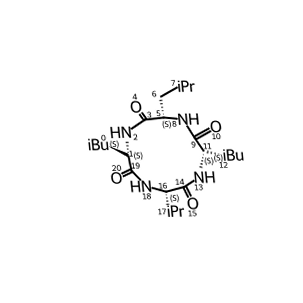 CC[C@H](C)[C@@H]1NC(=O)[C@H](CC(C)C)NC(=O)[C@H]([C@@H](C)CC)NC(=O)[C@H](C(C)C)NC1=O